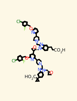 O=C(O)CCc1ccc2c(c1)nc(CN1CCC(c3cccc(OCc4ccc(Cl)cc4F)n3)CC1)n2C[C@H]1OCC1c1cc(OCc2ccc(Cl)cc2F)nc(C2CCN(Cc3nc4cc(C5(C(=O)O)CC5)ccc4n3C[C@@H]3CCO3)CC2)c1